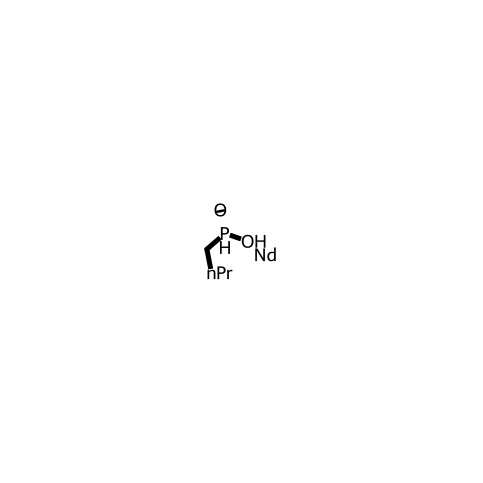 CCCC[PH](=O)O.[Nd]